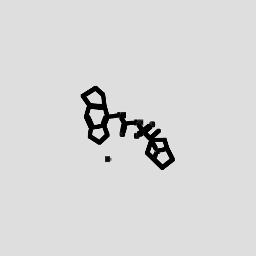 CCN1C2CCC1CN(S(=O)(=O)NC(=O)Nc1c3c(cc4c1CCC4)CCC3)C2.[K]